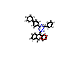 CC12c3ccccc3C(c3nc(-c4ccccc4)nc(-c4ccc(C5CCCCC5)cc4)n3)(c3ccccc31)c1ccccc12